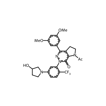 COc1cc(OC)cc(-c2nn(-c3cc(N4CCC(O)C4)ccc3C(F)(F)F)c(=O)c3c2CCN3C(C)=O)c1